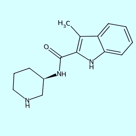 Cc1c(C(=O)N[C@@H]2CCCNC2)[nH]c2ccccc12